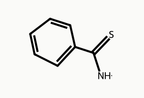 [NH]C(=S)c1ccccc1